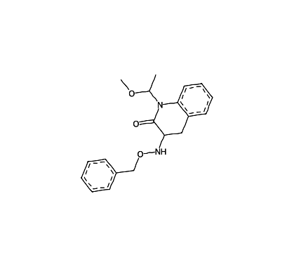 COC(C)N1C(=O)C(NOCc2ccccc2)Cc2ccccc21